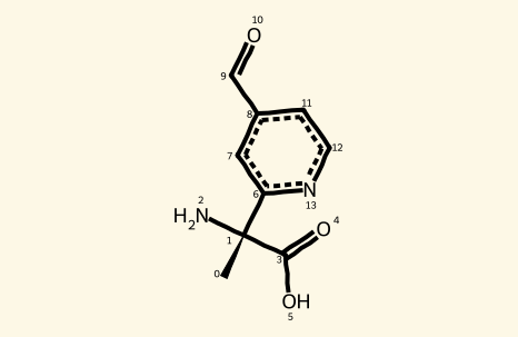 C[C@](N)(C(=O)O)c1cc(C=O)ccn1